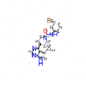 O=C(Nc1cccc(Br)c1)N1CC=C(c2ncnc3[nH]cc(C4CC4)c23)CC1